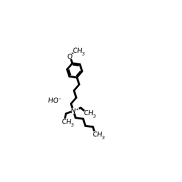 CCCCC[N+](CC)(CC)CCCCc1ccc(OC)cc1.[OH-]